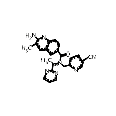 Cc1cc2cc(C(=O)N(Cc3ccc(C#N)cn3)[C@H](C)c3ncccn3)ccc2nc1N